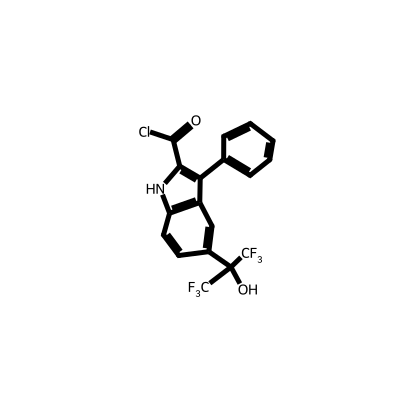 O=C(Cl)c1[nH]c2ccc(C(O)(C(F)(F)F)C(F)(F)F)cc2c1-c1ccccc1